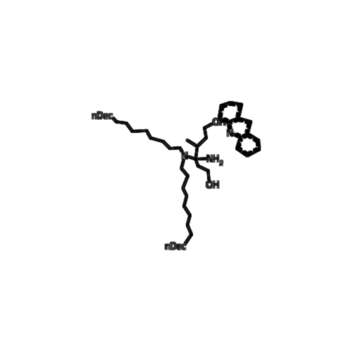 CCCCCCCCCCCCCCCCCCN(CCCCCCCCCCCCCCCCCC)C(N)(CCO)C(C)CCO.c1ccc2nc3ccccc3cc2c1